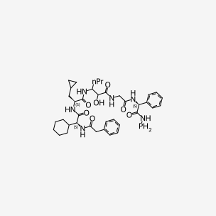 CCCC(NC(=O)[C@H](CC1CC1)NC(=O)[C@@H](NC(=O)Cc1ccccc1)C1CCCCC1)C(O)C(=O)NCC(=O)N[C@H](C(=O)NP)c1ccccc1